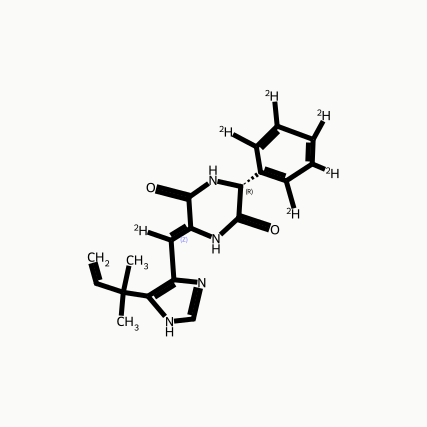 [2H]/C(=C1/NC(=O)[C@@H](c2c([2H])c([2H])c([2H])c([2H])c2[2H])NC1=O)c1nc[nH]c1C(C)(C)C=C